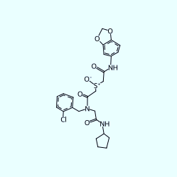 O=C(C[S+]([O-])CC(=O)N(CC(=O)NC1CCCC1)Cc1ccccc1Cl)Nc1ccc2c(c1)OCO2